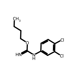 CCCCOC(=N)Nc1ccc(Cl)c(Cl)c1